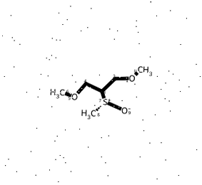 COCC(COC)[S@@+](C)[O-]